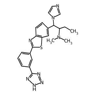 CCC(C(c1ccc2nc(-c3cccc(-c4nn[nH]n4)c3)sc2c1)n1ccnc1)N(C)C